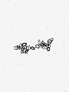 O=C(N[C@H]1CC[C@H](c2ccc(-c3cnc([C@@H]4CCCN4C(=O)[C@H](NC(=O)N4CCOCC4)c4ccccc4)[nH]3)cc2)CC1)[C@@H]1CCCN1C(=O)[C@H](NC(=O)N1CCOCC1)c1ccccc1